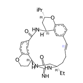 CC[C@]12CC/C=C/c3ccc4c(c3)[C@H](C[C@H](C(C)C)O4)NC(=O)c3ccc4c(c3)[C@@H](CCO4)N(C(=N)N1)C(=O)C2